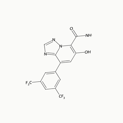 [NH]C(=O)c1c(O)cc(-c2cc(C(F)(F)F)cc(C(F)(F)F)c2)c2ncnn12